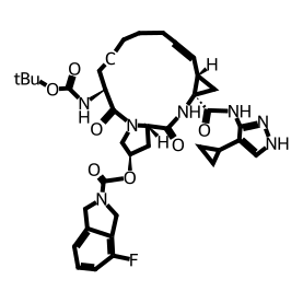 CC(C)(C)OC(=O)N[C@H]1CCCCC/C=C\[C@@H]2C[C@@]2(C(=O)Nc2n[nH]cc2C2CC2)NC(=O)[C@@H]2C[C@@H](OC(=O)N3Cc4cccc(F)c4C3)CN2C1=O